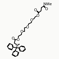 CNC(=O)CCC(=O)OCCOCCOCCOCCOC(=O)CN(C)C(c1ccccc1)(c1ccccc1)c1ccccc1